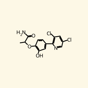 CC(Oc1ccc(-c2ncc(Cl)cc2Cl)cc1O)C(N)=O